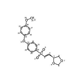 O=S(=O)(/C=C/[C@H]1COCO1)c1ccc(Oc2ccc(OC(F)(F)F)cc2)cc1